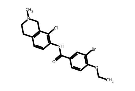 CCOc1ccc(C(=O)Nc2ccc3c(c2Cl)CN(C)CC3)cc1Br